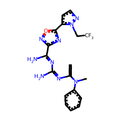 C=C(/N=C(N)\N=C(/N)c1noc(-c2ccnn2CC(F)(F)F)n1)N(C)c1ccccc1